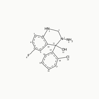 NN1CNc2ccc(F)cc2C1(O)c1ccccc1Cl